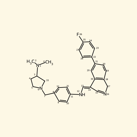 CN(C)C1CCN(Cc2ccc(N/C=C3\C=NCc4ccc(-c5ccc(F)cc5)cc43)cc2)C1